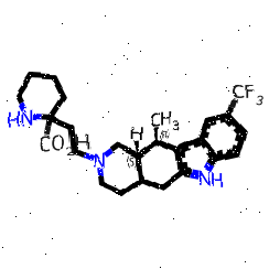 C[C@H]1c2c([nH]c3ccc(C(F)(F)F)cc23)CC2CCN(CCC3(C(=O)O)CCCCN3)C[C@@H]21